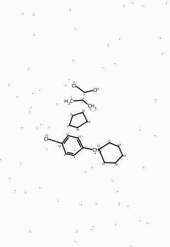 Cl[CH]Cl.[CH2]CC.[CH2]c1ccc(Cl)cc1.[CH]1CCCC1.[CH]1CCCCC1